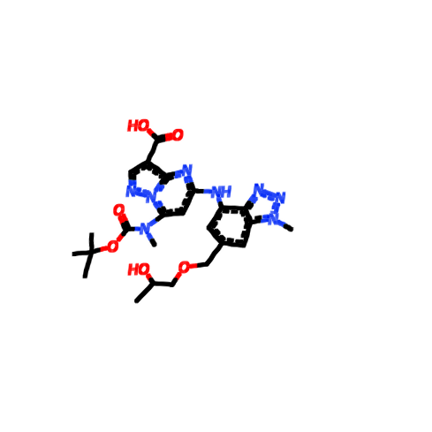 CC(O)COCc1cc(Nc2cc(N(C)C(=O)OC(C)(C)C)n3ncc(C(=O)O)c3n2)c2nnn(C)c2c1